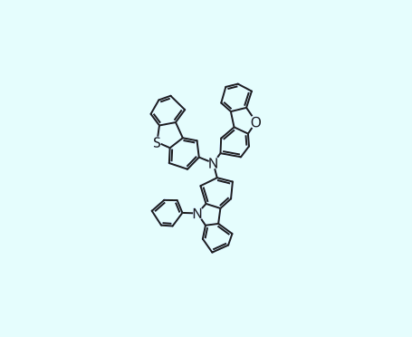 c1ccc(-n2c3ccccc3c3ccc(N(c4ccc5oc6ccccc6c5c4)c4ccc5sc6ccccc6c5c4)cc32)cc1